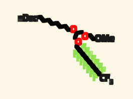 CCCCCCCCCCCCCCCCCCOC(COCCOC)COCC(F)(F)C(F)(F)C(F)(F)C(F)(F)C(F)(F)C(F)(F)C(F)(F)C(F)(F)F